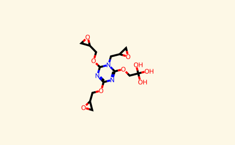 OC(O)(O)COC1=NC(OCC2CO2)=NC(OCC2CO2)N1CC1CO1